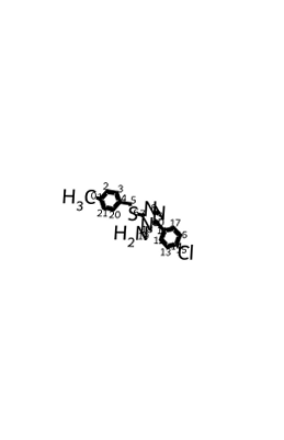 Cc1ccc(CSc2nnc(-c3ccc(Cl)cc3)n2N)cc1